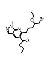 CCOC(=O)c1cc2cn[nH]c2nc1CCCC(CBr)OCC